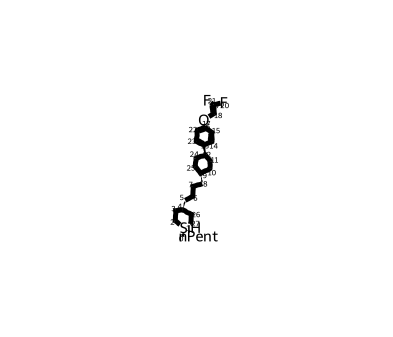 CCCCC[Si@H]1CC[C@H](CCCC[C@H]2CC[C@H](c3ccc(OC=C(F)F)cc3)CC2)CC1